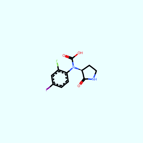 O=C1NCC[C@@H]1N(C(=O)O)c1ccc(I)cc1F